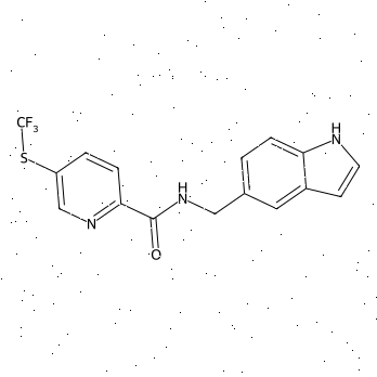 O=C(NCc1ccc2[nH]ccc2c1)c1ccc(SC(F)(F)F)cn1